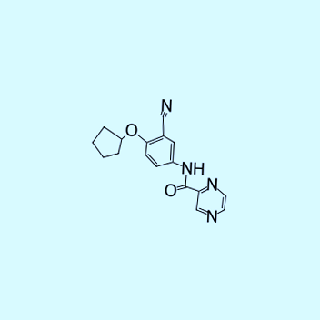 N#Cc1cc(NC(=O)c2cnccn2)ccc1OC1CCCC1